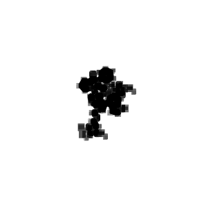 CC(Nc1ncnc2c1c(-c1cc(NS(C)(=O)=O)cc3[nH]ccc13)cn2COCC[Si](C)(C)C)c1nn2cccc2c(=O)n1-c1ccccc1